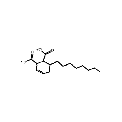 CCCCCCCCC1CC=CC(C(=O)O)C1C(=O)O